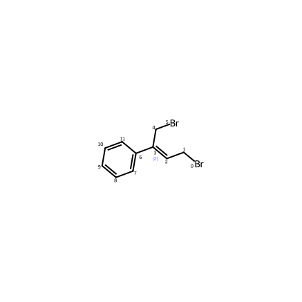 BrC/C=C(\CBr)c1ccccc1